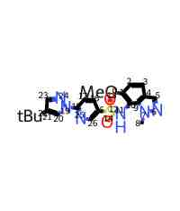 COc1ccc2cnn(C)c2c1NS(=O)(=O)c1ccc(-n2cc(C(C)(C)C)cn2)nc1